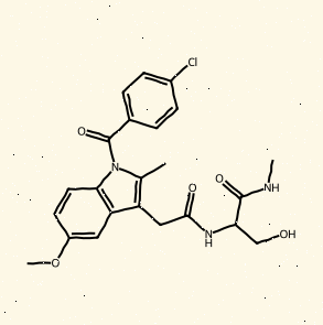 CNC(=O)C(CO)NC(=O)Cc1c(C)n(C(=O)c2ccc(Cl)cc2)c2ccc(OC)cc12